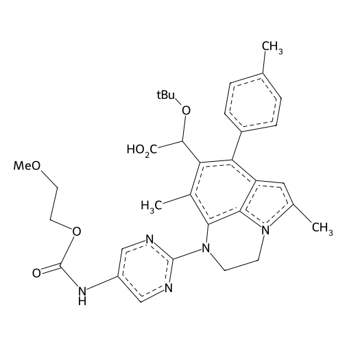 COCCOC(=O)Nc1cnc(N2CCn3c(C)cc4c(-c5ccc(C)cc5)c(C(OC(C)(C)C)C(=O)O)c(C)c2c43)nc1